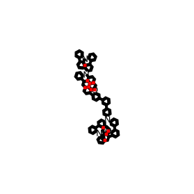 C1=Cc2oc3c(-c4cccc(N(c5ccc(-c6cccc(-c7ccc8c(c7)oc7c(-c9cccc(N(c%10ccc(-c%11ccccc%11-n%11c%12ccccc%12c%12ccccc%12%11)cc%10)c%10ccccc%10-c%10ccc%11ccccc%11c%10)c9)cccc78)c6)cc5)c5ccc(-c6ccccc6-n6c7ccccc7c7ccccc76)cc5)c4)cccc3c2CC1